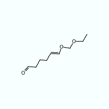 CCOCOC=CCCCC=O